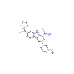 COc1cccc(-c2cc(C(N)=O)c3[nH]c4cc(C(=O)N5CCCC5)ccc4c3c2)c1